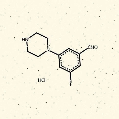 Cl.O=Cc1cc(F)cc(N2CCNCC2)c1